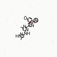 COc1ccc(CN2C3CC2CN(c2ccc(-c4nc(C)cc(Nc5cc(C)[nH]n5)n4)cn2)C3)c(F)c1